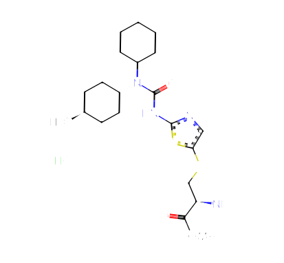 COC(=O)[C@H](N)CSc1cnc(NC(=O)N(C2CCCCC2)[C@H]2CC[C@H](C)CC2)s1.Cl